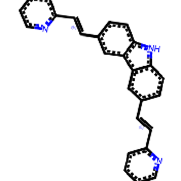 C(=C\c1ccccn1)/c1ccc2[nH]c3ccc(/C=C/c4ccccn4)cc3c2c1